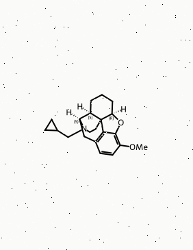 COc1ccc2c3c1O[C@@H]1CCC[C@@H]4[C@H](C2)N(CC2CC2)CCC341